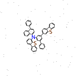 c1ccc(-c2cc(-c3ccc4c(c3)sc3ccccc34)cc(N(c3ccc(-c4ccccc4)c4ccccc34)c3cccc4c3sc3ccccc34)c2)cc1